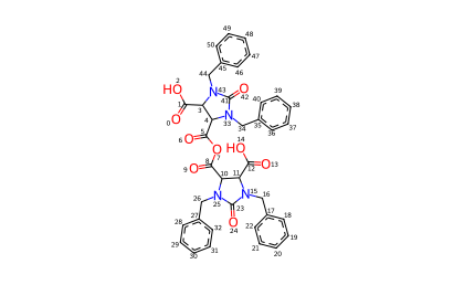 O=C(O)C1C(C(=O)OC(=O)C2C(C(=O)O)N(Cc3ccccc3)C(=O)N2Cc2ccccc2)N(Cc2ccccc2)C(=O)N1Cc1ccccc1